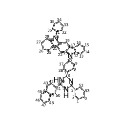 c1ccc(C2=NC(c3ccc(-n4c5ccccc5c5cc6c(cc54)c4ccccc4n6-c4ccccc4)cc3)NC(c3ccc4ccccc4c3)N2)cc1